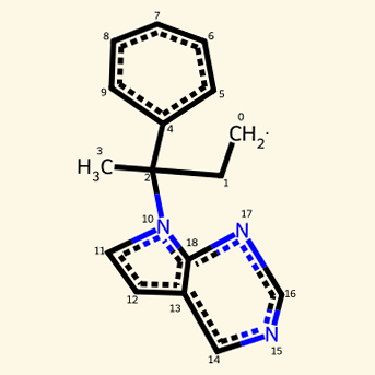 [CH2]CC(C)(c1ccccc1)n1ccc2cncnc21